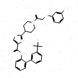 O=C(Nc1ccccc1-c1cccc(C(F)(F)F)c1)c1csc(C2CCN(C(=O)COc3cccc(Cl)c3)CC2)n1